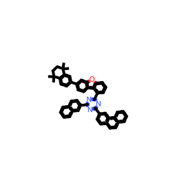 CC1(C)CCC(C)(C)c2cc(-c3ccc4c(c3)oc3cccc(-c5nc(-c6ccc7ccccc7c6)nc(-c6ccc7ccc8ccccc8c7c6)n5)c34)ccc21